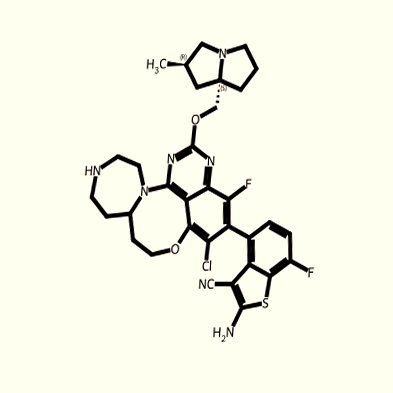 C[C@H]1CN2CCC[C@@]2(COc2nc3c4c(c(Cl)c(-c5ccc(F)c6sc(N)c(C#N)c56)c(F)c4n2)OCCC2CCNCCN32)C1